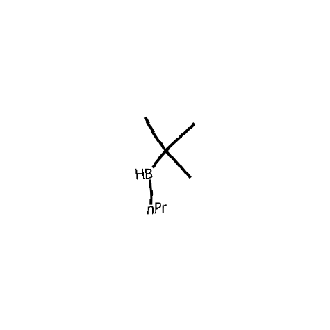 CCCBC(C)(C)C